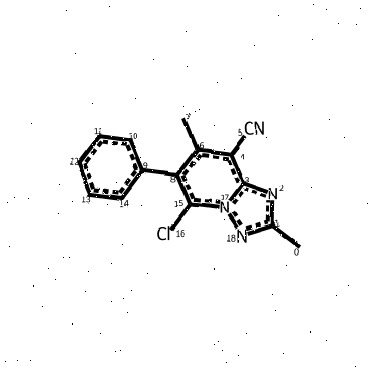 Cc1nc2c(C#N)c(C)c(-c3ccccc3)c(Cl)n2n1